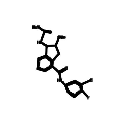 CNC(=O)NC1c2cccc(C(=O)Nc3ccc(F)c(Cl)c3)c2CC1OC